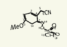 COC1=CC=C(CC#N)C(=NOS(C)(=O)=O)C1